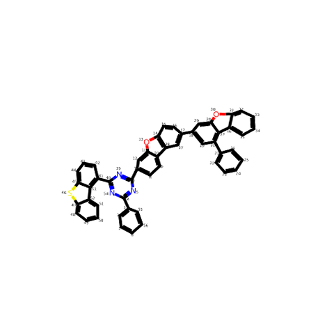 c1ccc(-c2nc(-c3ccc4c(c3)oc3ccc(-c5cc(-c6ccccc6)c6c(c5)oc5ccccc56)cc34)nc(-c3cccc4sc5ccccc5c34)n2)cc1